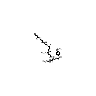 CBc1ccc(NC(=O)SCC(NC(=O)CCC(NCCC(=O)OCCNC(=O)CCNC(=O)CCN)C(=O)O)C(=O)NCC(=O)O)cc1